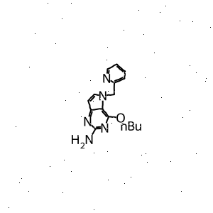 CCCCOc1nc(N)nc2ccn(Cc3ccccn3)c12